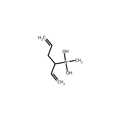 C=CCC(C=C)[N+](C)(O)O